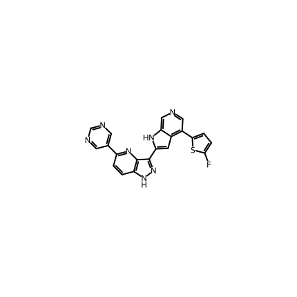 Fc1ccc(-c2cncc3[nH]c(-c4n[nH]c5ccc(-c6cncnc6)nc45)cc23)s1